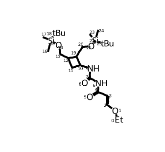 CCOC=CC(=O)NC(=O)NC1CC(CO[Si](C)(C)C(C)(C)C)C1CO[Si](C)(C)C(C)(C)C